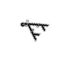 CCCCCC(CCCCC)CCOC(=O)CCCCCCCC(CCCCCC(=O)OCCC(CCCCC)CCCCC)NC(=O)CN1CCCCC1